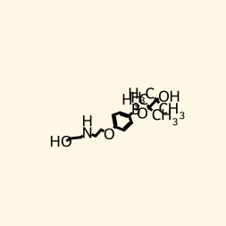 CC(C)(O)C(C)(C)OBc1ccc(OCCNCCO)cc1